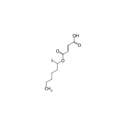 CCCCCC(I)OC(=O)C=CC(=O)O